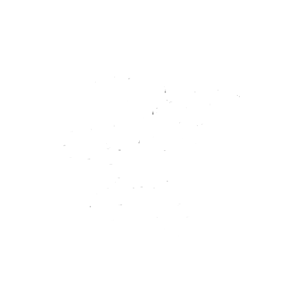 C#CC(C)CCOCC1OC(OCC2(C)CC2(C)OP(OCCC#N)N(C(C)C)C(C)C)C(OC(=O)c2ccccc2)C(OC(=O)c2ccccc2)C1OC(=O)c1ccccc1